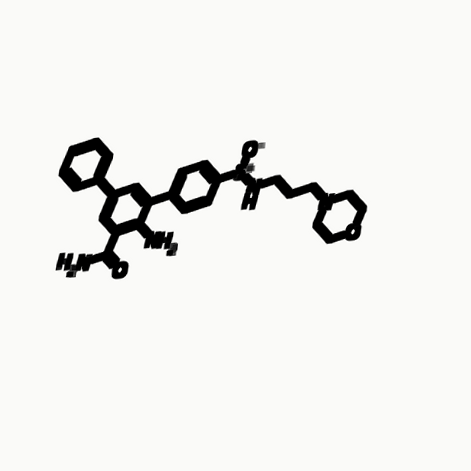 NC(=O)c1cc(-c2ccccc2)cc(-c2ccc([S+]([O-])NCCCN3CCOCC3)cc2)c1N